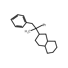 CC(C)C(C)(Cc1ccccc1)C1CCC2CCCCC2C1